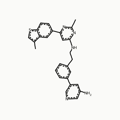 Cc1nc(NCCc2cccc(-c3cncc(N)c3)c2)cc(-c2ccc3scc(C)c3c2)n1